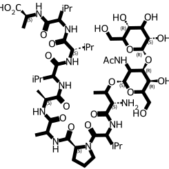 CC(=O)NC1[C@@H](OC(C)[C@H](N)C(=O)NC(C(=O)N2CCC[C@H]2C(=O)NC(C)C(=O)N[C@@H](C)C(=O)NC(C(=O)N[C@H](C(=O)NC(C(=O)N[C@@H](C)C(=O)O)C(C)C)C(C)C)C(C)C)C(C)C)OC(CO)[C@H](O)[C@@H]1O[C@@H]1OC(CO)[C@H](O)C(O)[C@@H]1O